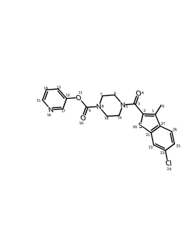 Cc1c(C(=O)N2CCN(C(=O)Oc3cccnc3)CC2)sc2cc(Cl)ccc12